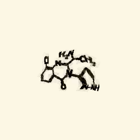 C[C@H](N)c1nc2c(Cl)cccc2c(=O)n1-c1cc[nH]n1